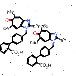 CCCCc1cc2nc(CCC)n(Cc3ccc(-c4ccccc4C(=O)O)cc3)c2cc(CCCC)c1=O.CCCc1cc2nc(CCC)n(Cc3ccc(-c4ccccc4C(=O)O)cc3)c2cc(CCC)c1=O